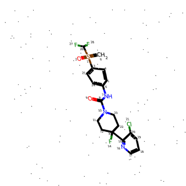 C=S(=O)(c1ccc(NC(=O)N2CCC(F)(c3ncccc3Cl)CC2)cc1)C(F)F